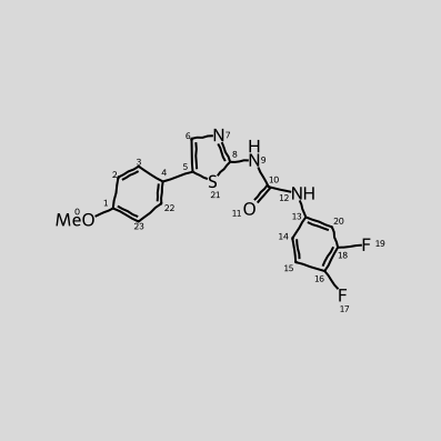 COc1ccc(-c2cnc(NC(=O)Nc3ccc(F)c(F)c3)s2)cc1